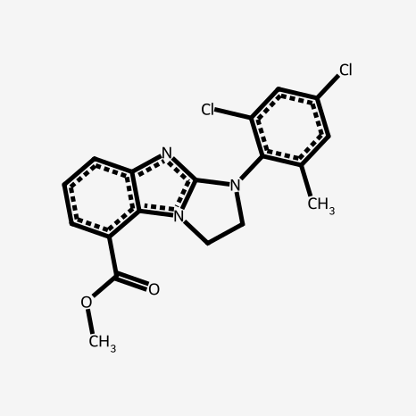 COC(=O)c1cccc2nc3n(c12)CCN3c1c(C)cc(Cl)cc1Cl